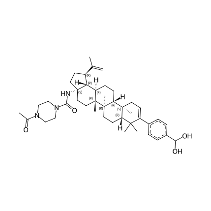 C=C(C)[C@@H]1CC[C@]2(NC(=O)N3CCN(C(C)=O)CC3)CC[C@]3(C)[C@H](CC[C@@H]4[C@@]5(C)CC=C(c6ccc(C(O)O)cc6)C(C)(C)[C@@H]5CC[C@]43C)[C@@H]12